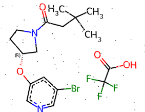 CC(C)(C)CC(=O)N1CC[C@@H](Oc2cncc(Br)c2)C1.O=C(O)C(F)(F)F